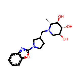 C[C@@H]1[C@@H](O)[C@H](O)[C@@H](O)CN1C[C@H]1CCN(c2nc3ccccc3o2)C1